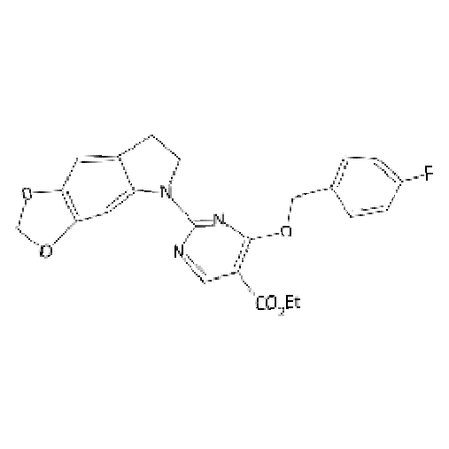 CCOC(=O)c1cnc(N2CCc3cc4c(cc32)OCO4)nc1OCc1ccc(F)cc1